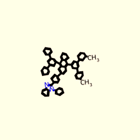 CC1C=CC(C2C=C(C3=CC(C)CC=C3)C=C(c3c4ccccc4c(-c4cc(-c5ccccc5)cc(-c5ccccc5)c4)c4cc(-c5ccc(-c6nc7ccccc7n6-c6ccccc6)cc5)ccc34)C2)=CC1